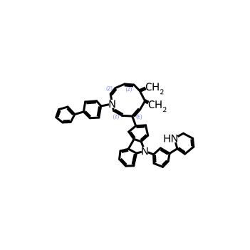 C=C1/C=C\C=C/N(c2ccc(-c3ccccc3)cc2)/C=C\C(c2ccc3c(c2)c2ccccc2n3-c2cccc(C3=CC=CCN3)c2)=C/C1=C